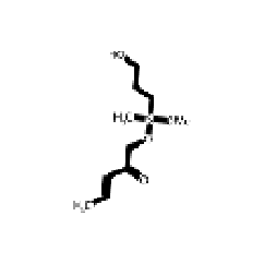 CC=CC(=O)CO[Si](C)(CCCO)OC